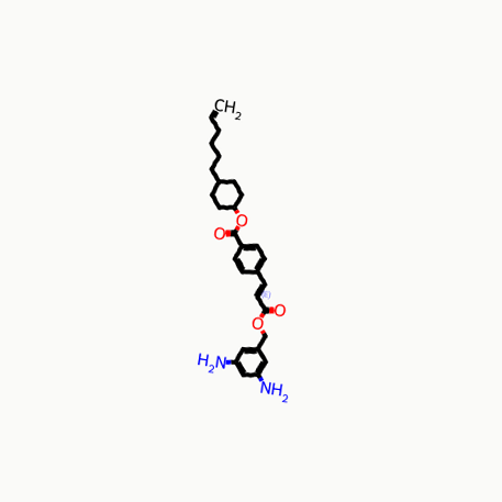 C=CCCCCC1CCC(OC(=O)c2ccc(/C=C/C(=O)OCc3cc(N)cc(N)c3)cc2)CC1